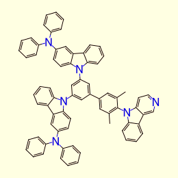 Cc1cc(-c2cc(-n3c4ccccc4c4cc(N(c5ccccc5)c5ccccc5)ccc43)cc(-n3c4ccccc4c4cc(N(c5ccccc5)c5ccccc5)ccc43)c2)cc(C)c1-n1c2ccccc2c2cnccc21